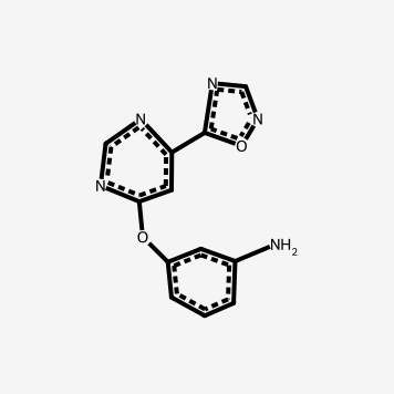 Nc1cccc(Oc2cc(-c3ncno3)ncn2)c1